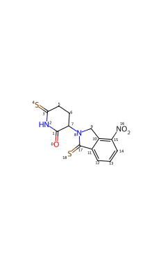 O=C1NC(=S)CCC1N1Cc2c(cccc2[N+](=O)[O-])C1=S